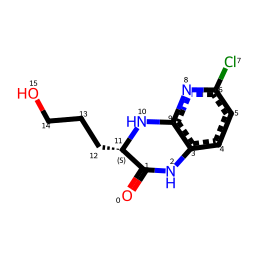 O=C1Nc2ccc(Cl)nc2N[C@H]1CCCO